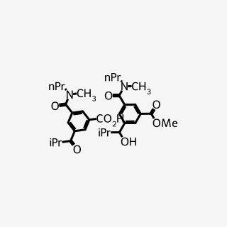 CCCN(C)C(=O)c1cc(C(=O)O)cc(C(=O)C(C)C)c1.CCCN(C)C(=O)c1cc(C(=O)OC)cc(C(O)C(C)C)c1